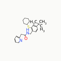 CC(C)(C)c1ccc(CNC(=O)Cc2ccccn2)c(SC2CCCCC2)c1